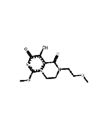 COCCN1CCn2c(OC)nc(=O)c(O)c2C1=O